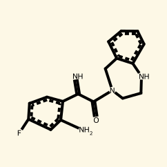 N=C(C(=O)N1CCNc2ccccc2C1)c1ccc(F)cc1N